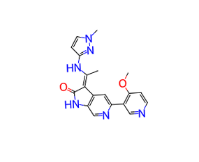 COc1ccncc1-c1cc2c(cn1)NC(=O)/C2=C(/C)Nc1ccn(C)n1